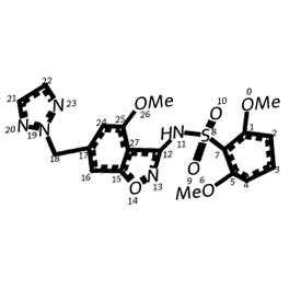 COc1cccc(OC)c1S(=O)(=O)Nc1noc2cc(Cn3nccn3)cc(OC)c12